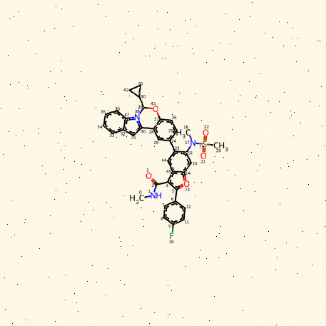 CNC(=O)c1c(-c2ccc(F)cc2)oc2cc(N(C)S(C)(=O)=O)c(-c3ccc4c(c3)-c3cc5ccccc5n3C(C3CC3)O4)cc12